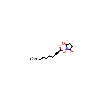 CCCCCCCCCCCCCCCC#CC(=O)ON1C(=O)CCC1=O